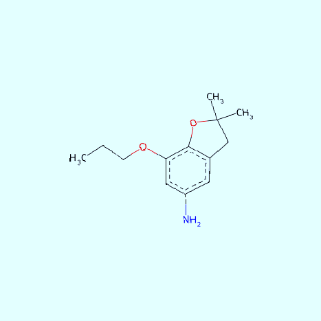 CCCOc1cc(N)cc2c1OC(C)(C)C2